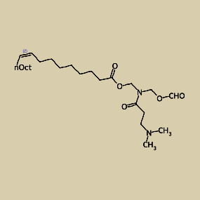 CCCCCCCC/C=C\CCCCCCCC(=O)OCN(COC=O)C(=O)CCN(C)C